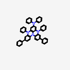 c1ccc(-c2ccc3c(c2)N(c2ccccc2)c2cc(N(c4ccccc4)c4ccccc4)cc4c2N3c2ccc(-c3ccccc3)cc2N4c2ccccc2)cc1